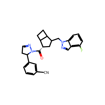 N#Cc1cccc(C2CC=NN2C(=O)[C@H]2CC(Cn3ncc4c(F)cccc43)C3CCC32)c1